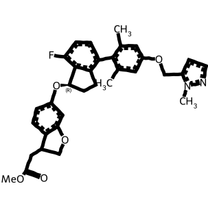 COC(=O)CC1COc2cc(O[C@@H]3CCc4c(-c5c(C)cc(OCc6ccnn6C)cc5C)ccc(F)c43)ccc21